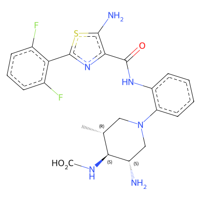 C[C@@H]1CN(c2ccccc2NC(=O)c2nc(-c3c(F)cccc3F)sc2N)C[C@H](N)[C@H]1NC(=O)O